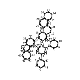 c1ccc(-c2nc(-c3ccccc3-c3cccc4c3ccc3c5ccccc5ccc43)nc(-c3cccc4oc5ccccc5c34)n2)cc1